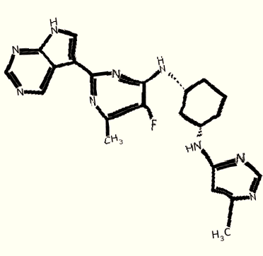 Cc1cc(N[C@H]2CCC[C@@H](Nc3nc(-c4c[nH]c5ncncc45)nc(C)c3F)C2)ncn1